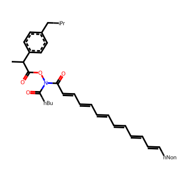 CCCCCCCCCC=CC=CC=CC=CC=CC=CC(=O)N(OC(=O)C(C)c1ccc(CC(C)C)cc1)C(=O)CCCC